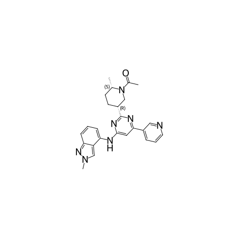 CC(=O)N1C[C@H](c2nc(Nc3cccc4nn(C)cc34)cc(-c3cccnc3)n2)CC[C@@H]1C